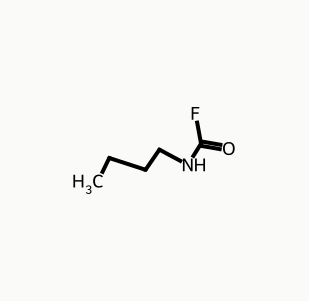 CCCCNC(=O)F